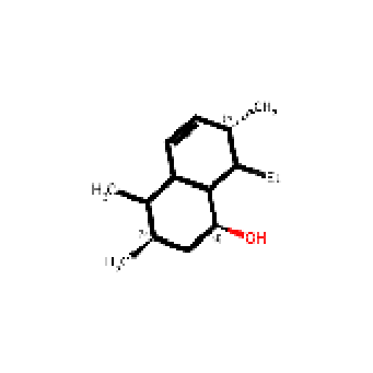 CCC1C2C(C=C[C@@H]1C)C(C)[C@H](C)C[C@@H]2O